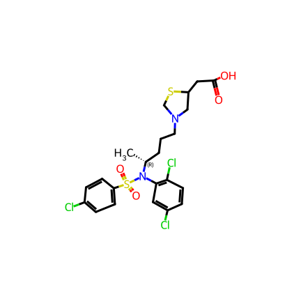 C[C@H](CCCN1CSC(CC(=O)O)C1)N(c1cc(Cl)ccc1Cl)S(=O)(=O)c1ccc(Cl)cc1